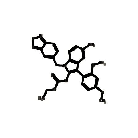 CCOC(=O)Oc1c(-c2ccc(OC)cc2OC)c2cc(N)ccc2n1Cc1ccc2nsnc2c1